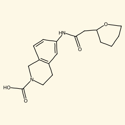 O=C(CC1CCCCO1)Nc1ccc2c(c1)CCN(C(=O)O)C2